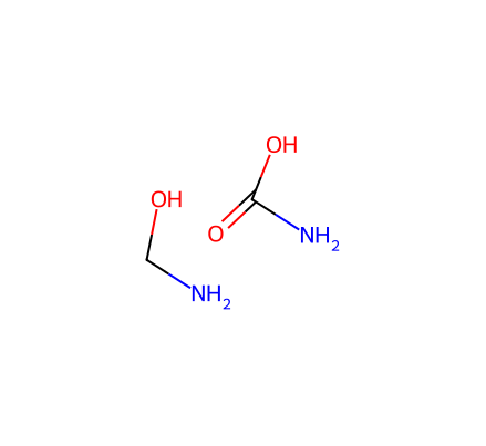 NC(=O)O.NCO